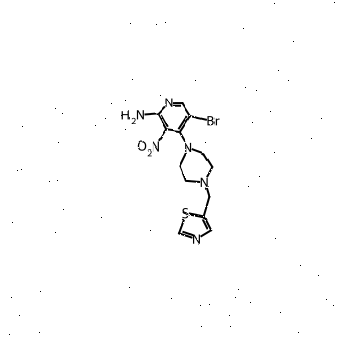 Nc1ncc(Br)c(N2CCN(Cc3cncs3)CC2)c1[N+](=O)[O-]